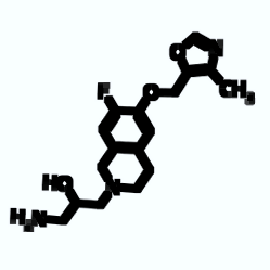 Cc1ncoc1COc1cc2c(cc1F)CN(CC(O)CN)CC2